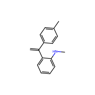 C=C(c1ccc(C)cc1)c1ccccc1NC